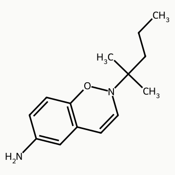 CCCC(C)(C)N1C=Cc2cc(N)ccc2O1